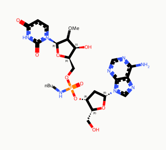 CCCCNP(=O)(OC[C@H]1O[C@@H](n2ccc(=O)[nH]c2=O)C(OC)[C@H]1O)O[C@@H]1C[C@H](n2cnc3c(N)ncnc32)O[C@@H]1CO